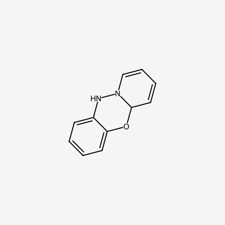 C1=CC2Oc3ccccc3NN2C=C1